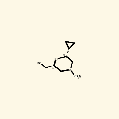 O=C(O)N1C[C@@H](CO)O[C@H](C2CC2)C1